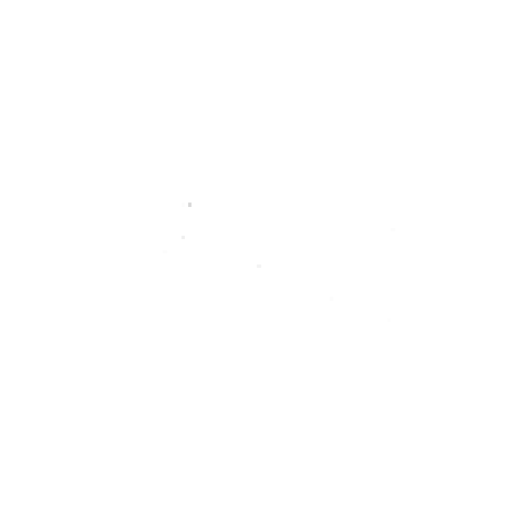 CN(C)Cc1ccc(C(F)(F)OC(=O)C2C(C=C(Cl)C(F)(F)F)C2(C)C)c(F)c1F